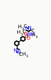 Cc1nn(C)c(C)c1NS(=O)(=O)c1ccc(-c2cccc(-c3cn(C)cn3)c2)cc1